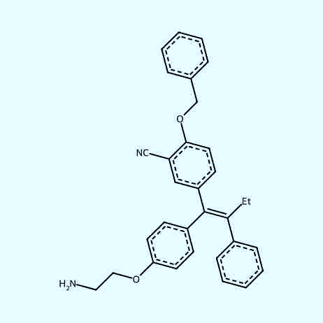 CCC(=C(c1ccc(OCCN)cc1)c1ccc(OCc2ccccc2)c(C#N)c1)c1ccccc1